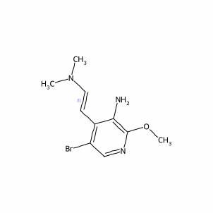 COc1ncc(Br)c(/C=C/N(C)C)c1N